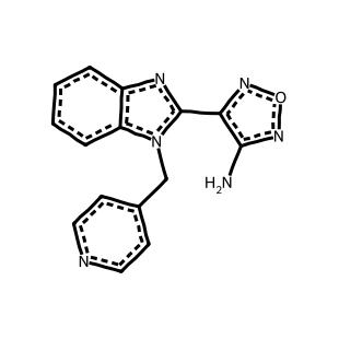 Nc1nonc1-c1nc2ccccc2n1Cc1ccncc1